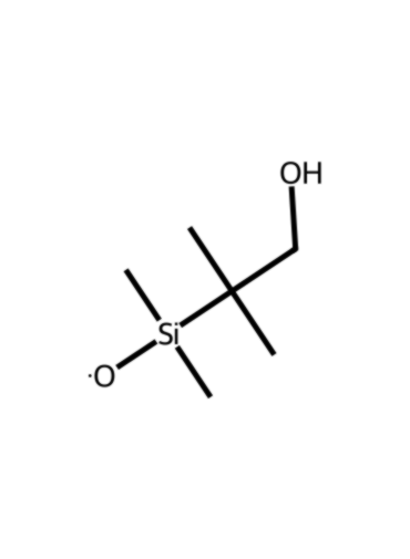 CC(C)(CO)[Si](C)(C)[O]